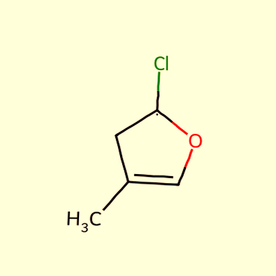 CC1=CO[C](Cl)C1